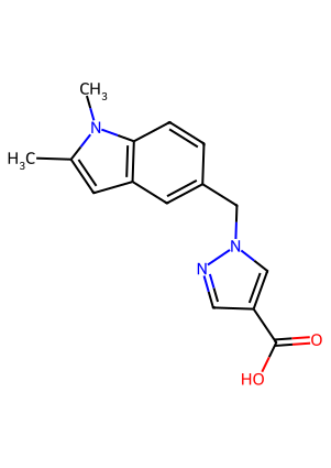 Cc1cc2cc(Cn3cc(C(=O)O)cn3)ccc2n1C